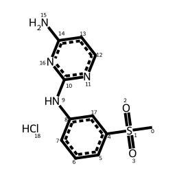 CS(=O)(=O)c1cccc(Nc2nccc(N)n2)c1.Cl